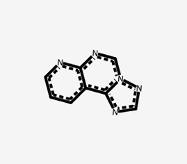 c1cnc2ncn3ncnc3c2c1